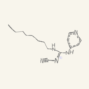 CCCCCCCCN/C(=N\C#N)Nc1ccncc1